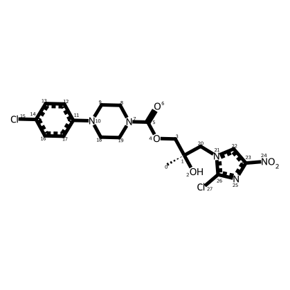 C[C@](O)(COC(=O)N1CCN(c2ccc(Cl)cc2)CC1)Cn1cc([N+](=O)[O-])nc1Cl